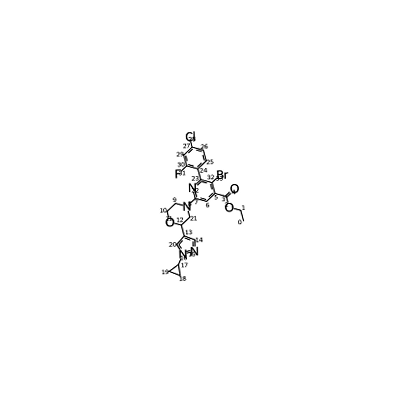 CCOC(=O)c1cc(N2CCOC(c3cnn(C4CC4)c3)C2)nc(-c2ccc(Cl)cc2F)c1Br